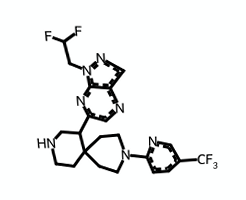 FC(F)Cn1ncc2ncc(C3CNCCC34CCN(c3ccc(C(F)(F)F)cn3)CC4)nc21